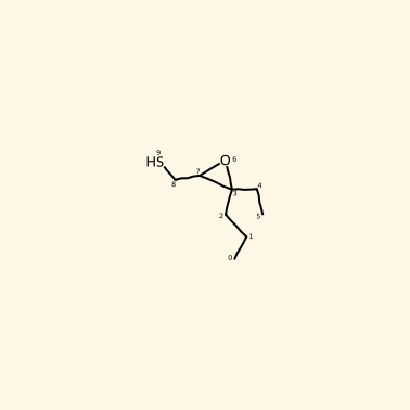 CCCC1(CC)OC1CS